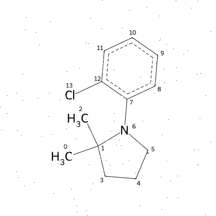 CC1(C)CC[CH]N1c1ccccc1Cl